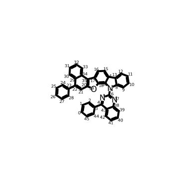 c1ccc(-c2nc(-n3c4ccccc4c4ccc5c(oc6cc(-c7ccccc7)c7ccccc7c65)c43)nc3ccccc23)cc1